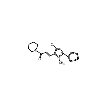 Cn1c(-c2ccccc2)nc(Cl)c1/C=C/C(=O)N1CCCCC1